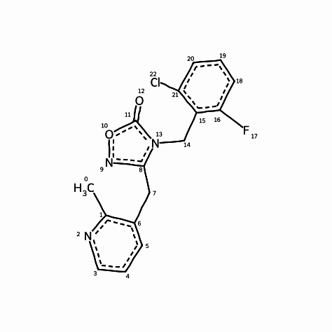 Cc1ncccc1Cc1noc(=O)n1Cc1c(F)cccc1Cl